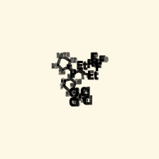 CCC=C(CC)P(C1CCCCC1)C1CCCCC1.F[B-](F)(F)F.[Cl][Zr]([Cl])([Cl])[Cl]